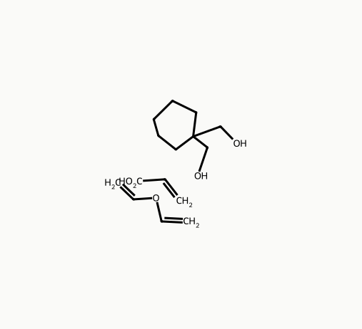 C=CC(=O)O.C=COC=C.OCC1(CO)CCCCC1